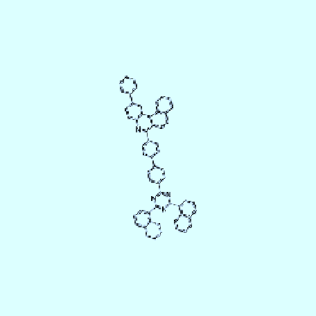 c1ccc(-c2ccc3nc(-c4ccc(-c5ccc(-c6nc(-c7cccc8ccccc78)nc(-c7cccc8ccccc78)n6)cc5)cc4)c4ccc5ccccc5c4c3c2)cc1